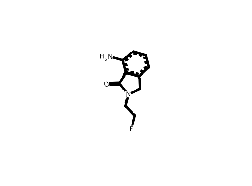 Nc1cccc2c1C(=O)N(CCF)C2